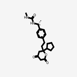 CNC(=O)N[C@H](C)c1ccc(CCC2(C3CCCC3)CC(=O)CC(=O)O2)cc1